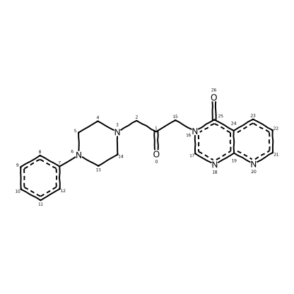 O=C(CN1CCN(c2ccccc2)CC1)Cn1cnc2ncccc2c1=O